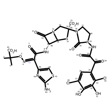 CC(C)(O/N=C(\C(=O)N[C@@H]1C(=O)N2C[C@@](C(=O)O)(N3CCN(NC(=O)C(=O)c4cc(Cl)c(O)c(O)c4Cl)C3=O)SC12)c1csc(N)n1)C(=O)O